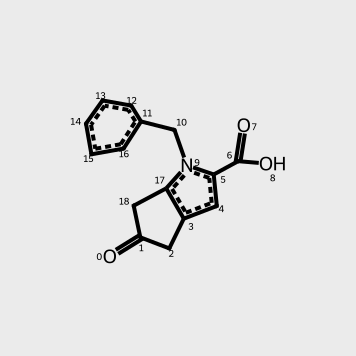 O=C1Cc2cc(C(=O)O)n(Cc3ccccc3)c2C1